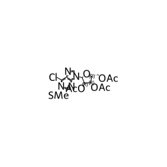 CSc1nc(Cl)c2ncn(C3O[C@H](COC(C)=O)[C@@H](OC(C)=O)[C@H]3OC(C)=O)c2n1